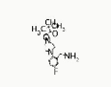 CC(C)(C)C(=O)ON1CCN(c2ccc(F)cc2CN)CC1